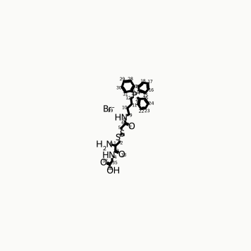 NC(CSSCC(=O)NCCCC[P+](c1ccccc1)(c1ccccc1)c1ccccc1)C(=O)NCC(=O)O.[Br-]